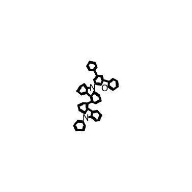 c1ccc(-c2cc(-n3c4ccccc4c4c(-c5cccc6c5c5ccccc5n6-c5ccccc5)cccc43)c3oc4ccccc4c3c2)cc1